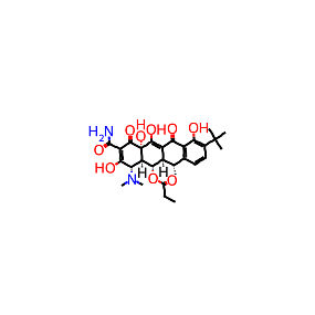 CCC(=O)O[C@H]1[C@H]2C(=C(O)[C@]3(O)C(=O)C(C(N)=O)=C(O)[C@@H](N(C)C)[C@H]13)C(=O)c1c(ccc(C(C)(C)C)c1O)[C@@H]2C